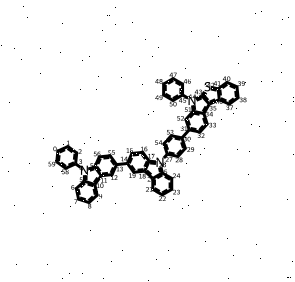 c1ccc(-n2c3ccccc3c3cc(-c4ccc5c(c4)c4ccccc4n5-c4ccc(-c5ccc6c7c8ccccc8sc7n(-c7ccccc7)c6c5)cc4)ccc32)cc1